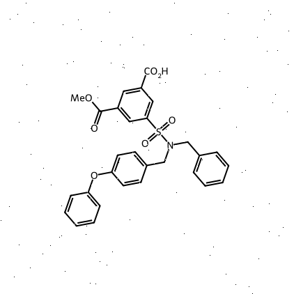 COC(=O)c1cc(C(=O)O)cc(S(=O)(=O)N(Cc2ccccc2)Cc2ccc(Oc3ccccc3)cc2)c1